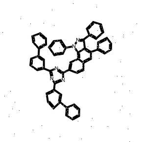 c1ccc(-c2cccc(-c3nc(-c4cccc(-c5ccccc5)c4)nc(-c4ccc5cc(-c6ccccc6)c6c(-c7ccccc7)nn(-c7ccccc7)c6c5c4)n3)c2)cc1